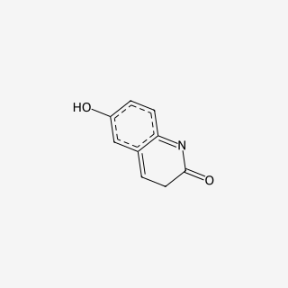 O=C1CC=c2cc(O)ccc2=N1